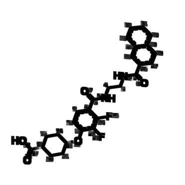 O=C(NCCNC(=O)c1ccc(O[C@H]2CC[C@@H](C(=O)O)CC2)c(F)c1F)c1ccc2ccccc2c1